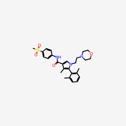 Cc1cccc(C)c1-c1c(C)c(C(=O)Nc2ccc(S(C)(=O)=O)cc2)cn1CCN1CCOCC1